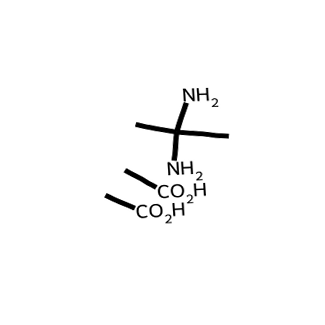 CC(=O)O.CC(=O)O.CC(C)(N)N